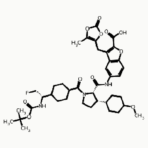 COC1CCC([C@@H]2CCN(C(=O)C3CCC([C@@H](CF)NC(=O)OC(C)(C)C)CC3)[C@@H]2C(=O)Nc2ccc3oc(C(=O)O)c(Cc4oc(=O)oc4C)c3c2)CC1